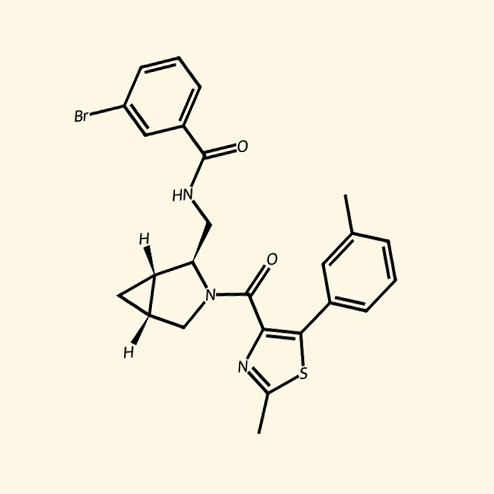 Cc1cccc(-c2sc(C)nc2C(=O)N2C[C@@H]3C[C@@H]3[C@H]2CNC(=O)c2cccc(Br)c2)c1